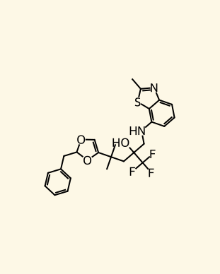 Cc1nc2cccc(NCC(O)(CC(C)(C)C3=COC(Cc4ccccc4)O3)C(F)(F)F)c2s1